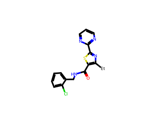 CCc1nc(-c2ncccn2)sc1C(=O)NCc1ccccc1Cl